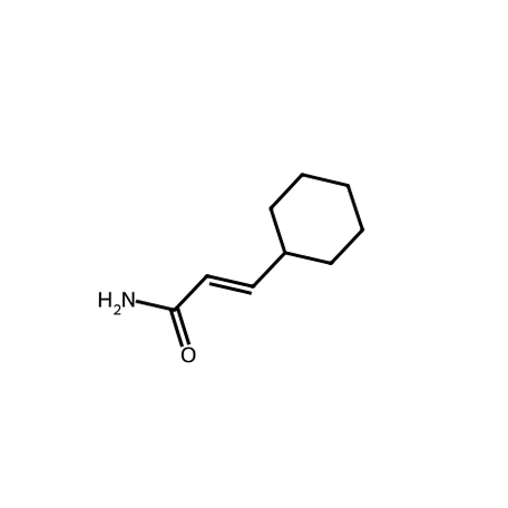 NC(=O)C=CC1CCCCC1